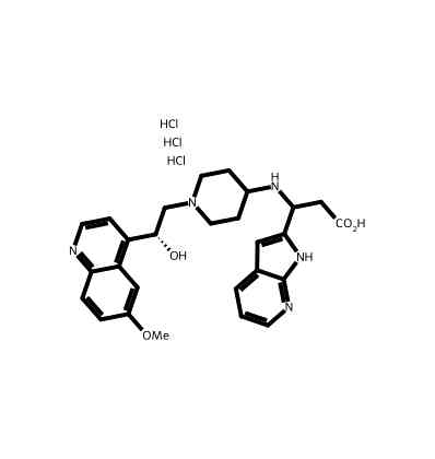 COc1ccc2nccc([C@@H](O)CN3CCC(NC(CC(=O)O)c4cc5cccnc5[nH]4)CC3)c2c1.Cl.Cl.Cl